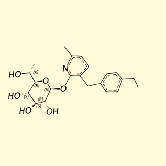 CCc1ccc(Cc2ccc(C)nc2O[C@@H]2O[C@H]([C@@H](C)O)[C@@H](O)[C@H](O)[C@H]2O)cc1